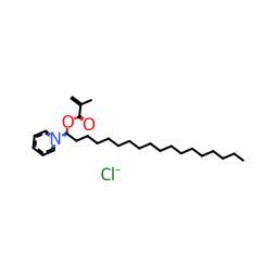 C=C(C)C(=O)OC(CCCCCCCCCCCCCCCCC)[n+]1ccccc1.[Cl-]